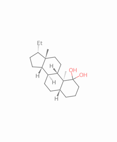 CC[C@H]1CC[C@H]2[C@@H]3CC[C@H]4CCCC(O)(O)[C@]4(C)[C@H]3CC[C@@]12C